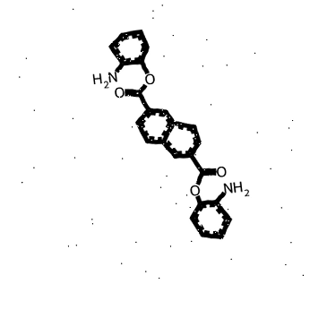 Nc1ccccc1OC(=O)c1ccc2cc(C(=O)Oc3ccccc3N)ccc2c1